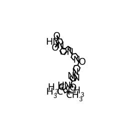 CC1(C)CC(C)(C)C1NC(=O)c1cnc(N2CCC(C(=O)N3CCC(n4ccc5c(N6CCC(=O)NC6=O)cccc54)CC3)CC2)nc1